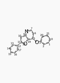 [c]1ccc(Oc2ccnc3cc(-c4ccccc4)oc23)cc1